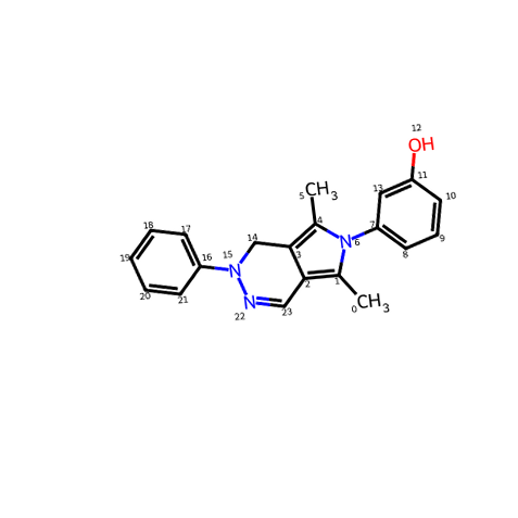 Cc1c2c(c(C)n1-c1cccc(O)c1)CN(c1ccccc1)N=C2